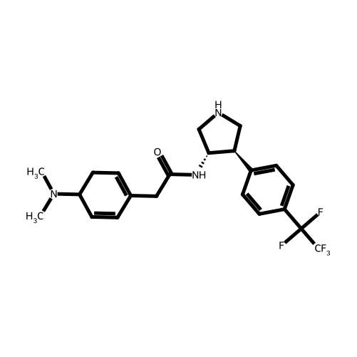 CN(C)C1C=CC(CC(=O)N[C@@H]2CNC[C@H]2c2ccc(C(F)(F)C(F)(F)F)cc2)=CC1